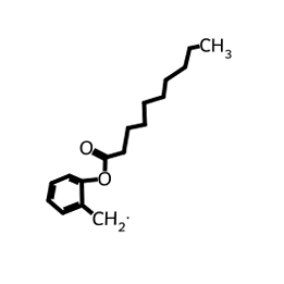 [CH2]c1ccccc1OC(=O)CCCCCCCCC